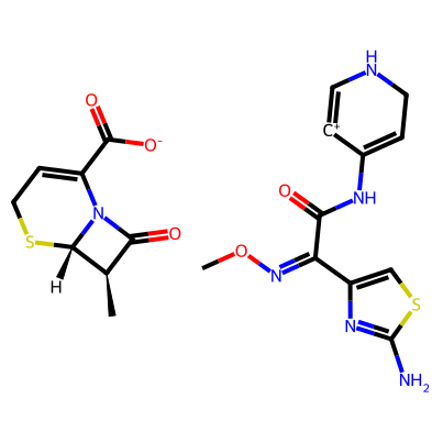 CO/N=C(\C(=O)NC1=CCNC=[C+]1)c1csc(N)n1.C[C@@H]1C(=O)N2C(C(=O)[O-])=CCS[C@@H]12